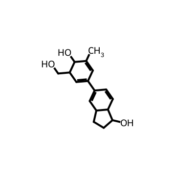 CC1=CC(C2=CC3CCC(O)C3C=C2)=CC(CO)C1O